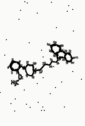 COc1cc#ccc1N1CCN(CCCCCn2c3ccccc3c3ccccc32)CC1